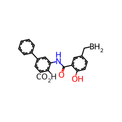 BCc1ccc(O)c(C(=O)Nc2cc(-c3ccccc3)ccc2C(=O)O)c1